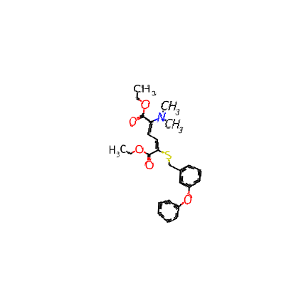 CCOC(=O)C(=CC=C(C(=O)OCC)N(C)C)SCc1cccc(Oc2ccccc2)c1